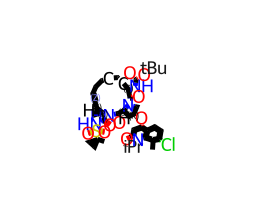 Cc1c(Cl)ccc2c(O[C@@H]3C[C@H]4C(=O)N[C@]5(C(=O)NS(=O)(=O)C6(C)CC6)C[C@H]5/C=C\CCCCC[C@H](NC(=O)OC(C)(C)C)C(=O)N4C3)cc(OC(C)C)nc12